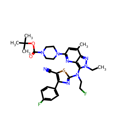 CCn1nc2c(C)cc(N3CCN(C(=O)OC(C)(C)C)CC3)nc2c1N(CCF)c1nc(-c2ccc(F)cc2)c(C#N)s1